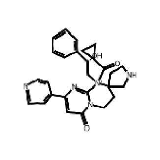 O=C(C1CC1)[N+]1(C[C@@H](O)c2ccccc2)c2nc(-c3ccncc3)cc(=O)n2CCC12CCNC2